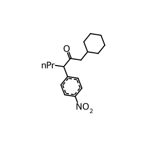 CCCC(C(=O)CC1CCCCC1)c1ccc([N+](=O)[O-])cc1